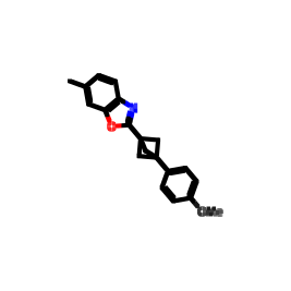 COc1ccc(C23CC(c4nc5ccc(C)cc5o4)(C2)C3)cc1